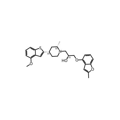 COc1cccc2sc([C@H]3CCN(C[C@H](O)COc4cccc5oc(C)cc45)[C@@H](C)C3)cc12